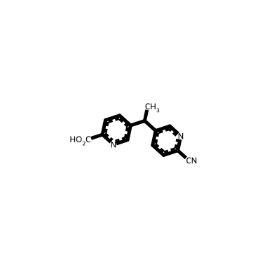 C[C](c1ccc(C#N)nc1)c1ccc(C(=O)O)nc1